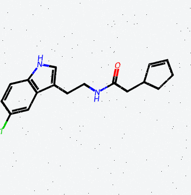 O=C(CC1C=CCC1)NCCc1c[nH]c2ccc(Cl)cc12